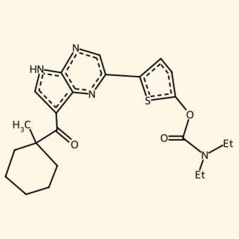 CCN(CC)C(=O)Oc1ccc(-c2cnc3[nH]cc(C(=O)C4(C)CCCCC4)c3n2)s1